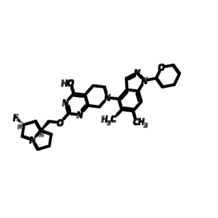 Cc1cc2c(cnn2C2CCCCO2)c(N2CCc3c(O)nc(OC[C@@]45CCCN4C[C@H](F)C5)nc3C2)c1C